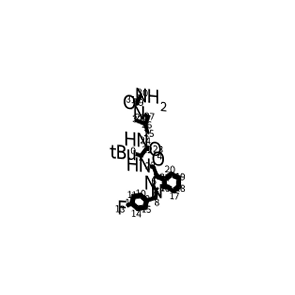 CC(C)(C)C(NC(=O)c1nn(Cc2ccc(F)cc2)c2ccccc12)C(=O)NCC1CN(C(N)=O)C1